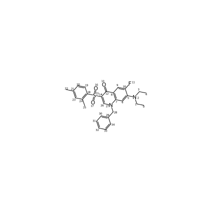 CCN(CC)c1cc2c(cc1F)c(=O)c(S(=O)(=O)c1ccc(C)cc1C)cn2Cc1ccccc1